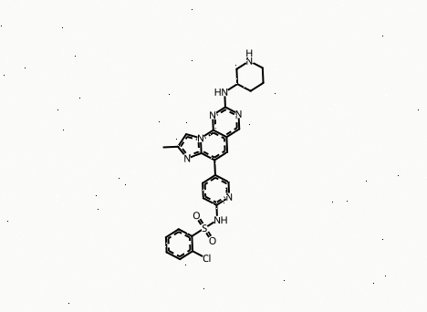 Cc1cn2c(n1)c(-c1ccc(NS(=O)(=O)c3ccccc3Cl)nc1)cc1cnc(NC3CCCNC3)nc12